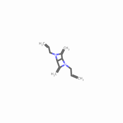 C=CCN1C(=C)C2C1C(=C)N2CC=C